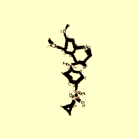 COc1cc2ncc(F)c(Nc3ccc(NS(=O)(=O)C4CC4)cc3)c2cc1OC